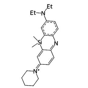 CCN(CC)c1ccc2c(c1)[Si](C)(C)C1=CC(=[N+]3CCCCC3)C=CC1=N2